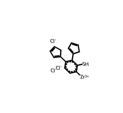 Sc1[c]([Zr+3])ccc(C2=CC=CC2)c1C1=CC=CC1.[Cl-].[Cl-].[Cl-]